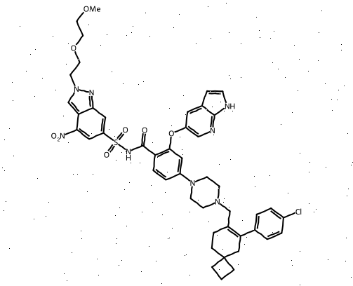 COCCOCCn1cc2c([N+](=O)[O-])cc(S(=O)(=O)NC(=O)c3ccc(N4CCN(CC5=C(c6ccc(Cl)cc6)CC6(CCC6)CC5)CC4)cc3Oc3cnc4[nH]ccc4c3)cc2n1